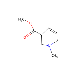 COC(=O)C1C=CCN(C)C1